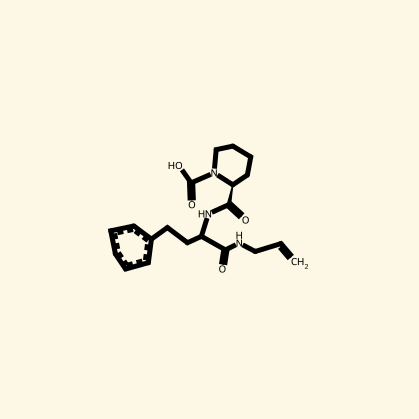 C=CCNC(=O)C(CCc1ccccc1)NC(=O)[C@@H]1CCCCN1C(=O)O